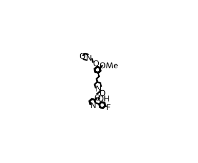 COc1cc(CCC2CCN(C(=O)COc3cccnc3-c3ccc(F)cc3O)CC2)ccc1OCCN1CCOCC1